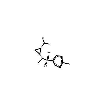 Cc1ccc(S(=O)(=O)C(C)[C@@H]2C[C@H]2C(F)F)cc1